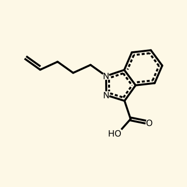 C=CCCCn1nc(C(=O)O)c2ccccc21